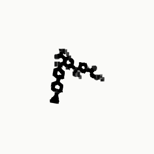 C=CC(=O)N1CC[C@@H](N(C)c2cnc(C(N)=O)c(Nc3ccc(C4CCN(C5CC5)CC4)cc3)n2)C1